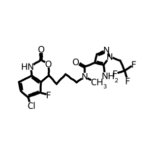 CN(CCCC1OC(=O)Nc2ccc(Cl)c(F)c21)C(=O)c1cnn(CC(F)(F)F)c1N